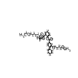 CCOCCCCC[C@@H](OC(=O)c1ccccc1OC(=O)c1ccc(-c2ccccc2)c(OCCCCOC)c1)C(F)(F)F